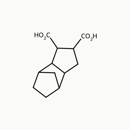 O=C(O)C1CC2C3CCC(C3)C2C1C(=O)O